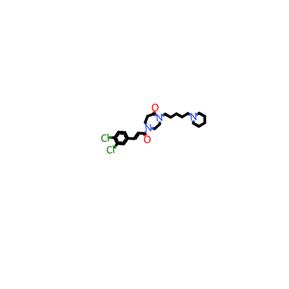 O=C(/C=C/c1ccc(Cl)c(Cl)c1)N1CCC(=O)N(CCCCCN2CCCCC2)CC1